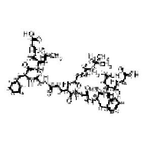 CC(C)CC(NC(=O)C(Cc1ccccc1)NC(=O)CNC(=O)CCC(NC(=O)CNC(=O)OC(C)(C)C)C(=O)NCC(=O)NC(Cc1ccccc1)C(=O)NC(CC(C)C)C(=O)NCC(=O)O)C(=O)NCC(=O)O